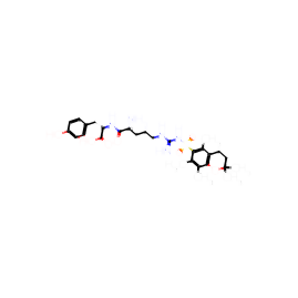 Cc1c(C)c(S(=O)(=O)NC(=N)NCCC[C@@H](N)C(=O)N[C@H](Cc2ccc(O)cc2)C(=O)O)c(C)c2c1OC(C)(C)CC2